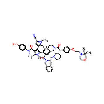 Cc1c(-c2c(C(=O)Nc3ccc(O)cc3)c(C)n(C)c2-c2cc3c(cc2C(=O)N2Cc4ccccc4C[C@H]2CN2CCCCC2)CN(C(=O)Cc2ccc(OCCN4CCOCC4(C)C)cc2)CC3)cc(C#N)n1C